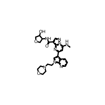 CNc1cc(-c2cn(CCN3CCOCC3)c3ncccc23)nc2c(C(=O)NC3COCC3O)cnn12